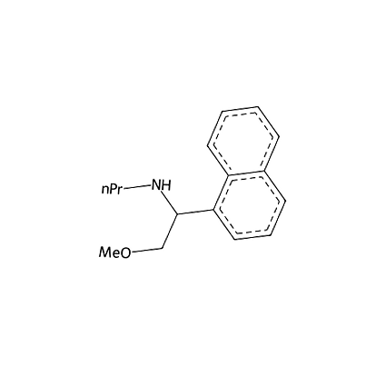 CCCNC(COC)c1cccc2ccccc12